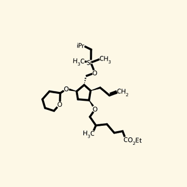 C=CC[C@@H]1[C@@H](CO[Si](C)(C)CC(C)C)[C@H](OC2CCCCO2)C[C@@H]1OCC(C)CCCC(=O)OCC